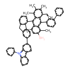 Bc1cc(C)c2c(-c3cccc4c3-c3ccc(-c5ccc6c7ccccc7n(-c7ccccc7)c6c5)cc3C4)c3c(C)c(C)c(C)c(C=C)c3c(-c3cccc(-c4ccccc4)c3)c2c1C